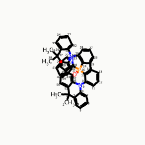 CC1(C)c2ccccc2N(c2cccc3c2P(=O)(c2ccccn2)c2c-3cccc2N2c3ccccc3C(C)(C)c3ccccc32)c2ccccc21